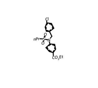 CCCS(=O)(=O)N(Cc1ccc(Cl)cc1)c1ccc(C(=O)OCC)cc1